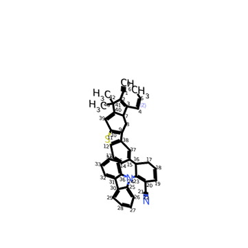 C#CC1=C(/C=C\C)C2Cc3c(sc4ccc(C5CC=CC(C#N)=C5n5c6ccccc6c6ccccc65)cc34)C=C2C1(C)C